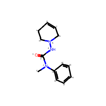 CN(C(=O)NN1CC=CCC1)c1ccccc1